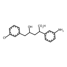 Nc1cccc(C(CC(O)Cc2cccc(Cl)c2)C(=O)O)c1